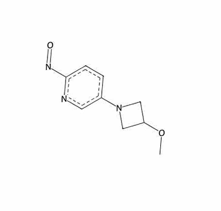 COC1CN(c2ccc(N=O)nc2)C1